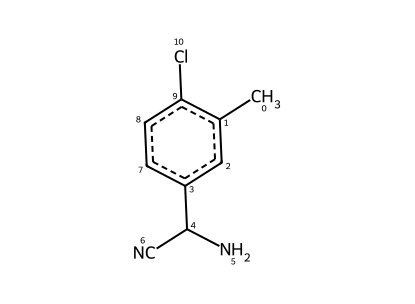 Cc1cc(C(N)C#N)ccc1Cl